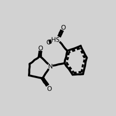 O=C1CCC(=O)N1c1ccccc1[SH](=O)=O